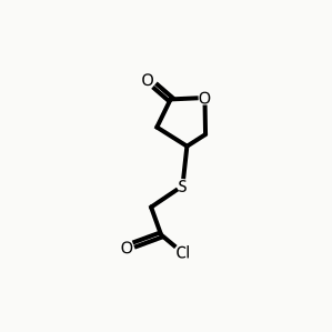 O=C(Cl)CSC1COC(=O)C1